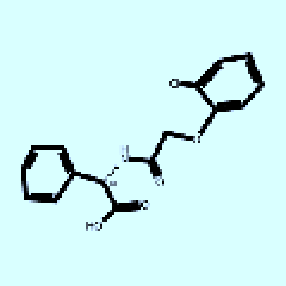 O=C(COc1ccccc1Cl)N[C@H](C(=O)O)c1ccccc1